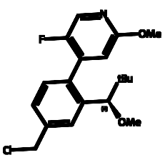 COc1cc(-c2ccc(CCl)cc2[C@H](OC)C(C)(C)C)c(F)cn1